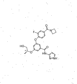 C[C@@H](CO)Oc1cc(Oc2ccc(C(=O)N3CCC3)cc2F)cc(C(=O)Nc2cc[nH]n2)c1